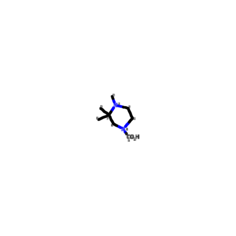 CN1CCN(C(=O)O)CC1(C)C